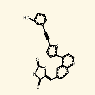 O=C1NC(=O)C(=Cc2ccc3nccc(-c4ccc(C#Cc5cccc(O)c5)s4)c3c2)S1